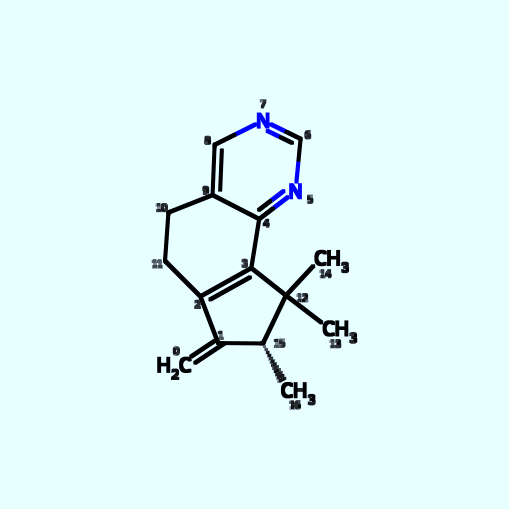 C=C1C2=C(c3ncncc3CC2)C(C)(C)[C@@H]1C